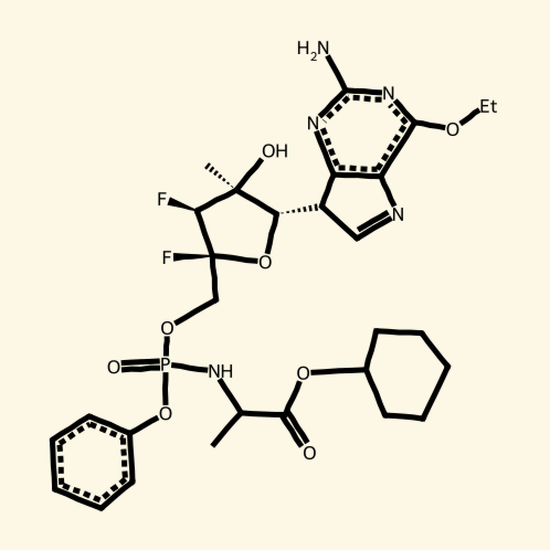 CCOc1nc(N)nc2c1N=CC2[C@@H]1O[C@](F)(COP(=O)(NC(C)C(=O)OC2CCCCC2)Oc2ccccc2)[C@@H](F)[C@@]1(C)O